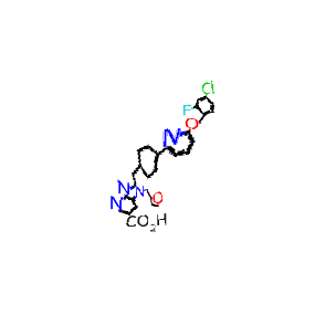 O=C(O)c1cnc2nc(CC3CC=C(c4cccc(OCc5ccc(Cl)cc5F)n4)CC3)n(C[C@@H]3CCO3)c2c1